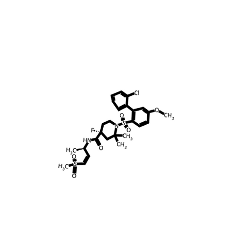 COc1ccc(S(=O)(=O)N2CC[C@](F)(C(=O)N[C@H](C)/C=C\S(C)(=O)=O)CC2(C)C)c(-c2ccccc2Cl)c1